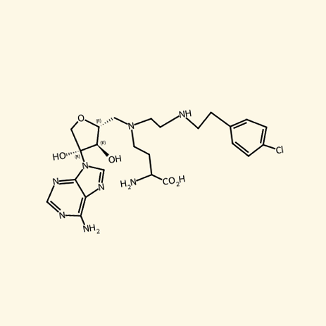 Nc1ncnc2c1ncn2[C@@]1(O)CO[C@H](CN(CCNCCc2ccc(Cl)cc2)CCC(N)C(=O)O)[C@H]1O